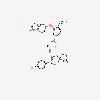 CC1(C)CCC(c2ccc(Cl)cc2)=C(CN2CCN(c3ccc(C(=O)O)c(Oc4ccc5[nH]ccc5c4)c3)CC2)C1